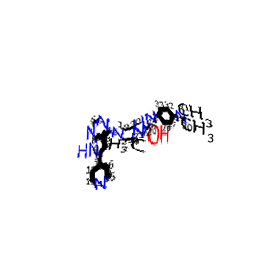 C[C@H]1CN(c2ncnc3[nH]c(-c4ccncc4)cc23)CCN1C(O)Nc1ccc(N(C)C)cc1